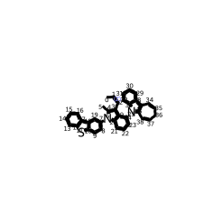 C/C=C\c1c(C)n(-c2ccc3sc4ccccc4c3c2)c2cccc(-n3c4c(c5ccccc53)C=CCC=C4)c12